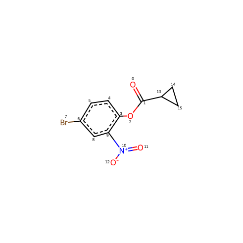 O=C(Oc1ccc(Br)cc1[N+](=O)[O-])C1CC1